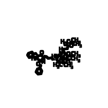 CC(C)(C)OC(=O)CC[C@H](NC(=O)N[C@@H](CCCCNC(=O)[C@H](Cc1ccccc1)NC(=O)OCc1ccccc1)C(=O)OC(C)(C)C)C(=O)OC(C)(C)C